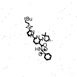 C[C@@H]1CN(c2nc(-n3ccc([Si](C)(C)CCC(C)(C)C)n3)ccc2C(=O)NS(=O)(=O)c2ccccc2)C(C)(C)C1